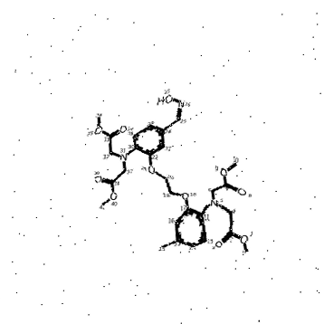 COC(=O)CN(CC(=O)OC)c1ccc(C)cc1OCCOc1cc(/C=N\O)ccc1N(CC(=O)OC)CC(=O)OC